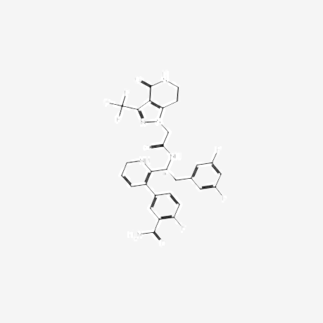 NC(=O)c1cc(C2=C([C@H](Cc3cc(F)cc(F)c3)NC(=O)Cn3nc(C(F)(F)F)c4c3CCNC4=O)NCC=C2)ccc1F